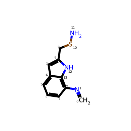 C=Nc1cccc2cc(CSN)[nH]c12